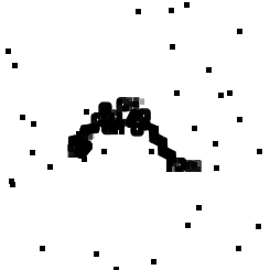 CCCCCCCCCCCCCCC[C@@H]1OC[C@@H](COP(=O)(O)OCC[n+]2ccsc2)O1.[OH-]